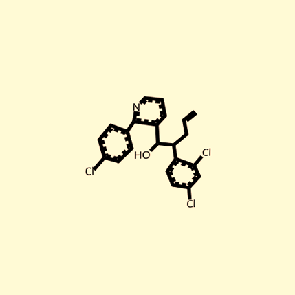 C=CCC(c1ccc(Cl)cc1Cl)C(O)c1cccnc1-c1ccc(Cl)cc1